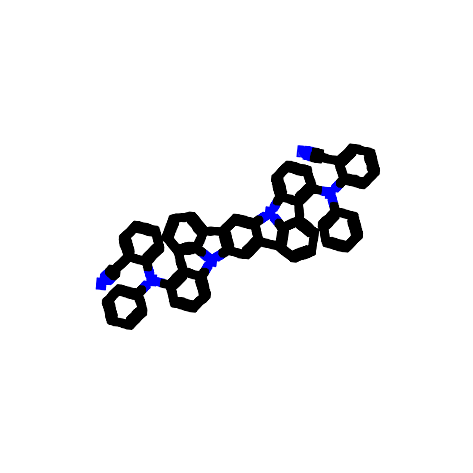 N#Cc1ccccc1N(c1ccccc1)c1cccc2c1c1cccc3c4cc5c(cc4n2c31)c1cccc2c3c(N(c4ccccc4)c4ccccc4C#N)cccc3n5c12